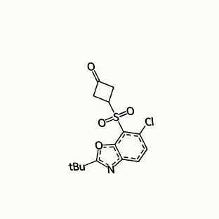 CC(C)(C)c1nc2ccc(Cl)c(S(=O)(=O)C3CC(=O)C3)c2o1